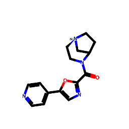 O=C(c1ncc(-c2ccncc2)o1)N1CC[N@@]2CCC1C2